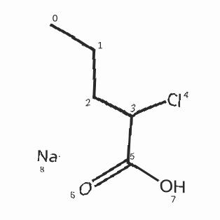 CCCC(Cl)C(=O)O.[Na]